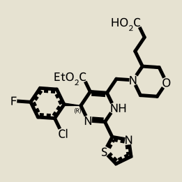 CCOC(=O)C1=C(CN2CCOCC2CCC(=O)O)NC(c2nccs2)=N[C@H]1c1ccc(F)cc1Cl